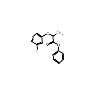 CC(Oc1cncc(Cl)c1)C(=O)Oc1ccccc1